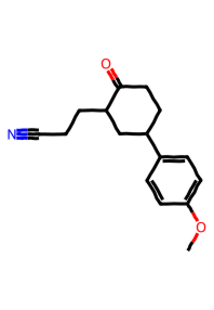 COc1ccc(C2CCC(=O)C(CCC#N)C2)cc1